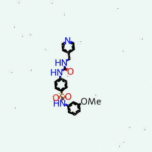 COc1cccc(NS(=O)(=O)c2ccc(NC(=O)NCc3ccncc3)cc2)c1